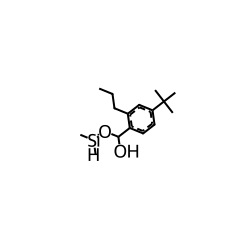 CCCc1cc(C(C)(C)C)ccc1C(O)O[SiH](C)C